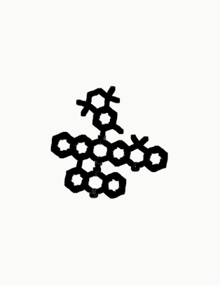 Cc1cc2c(cc1N1c3cc4c(cc3B3c5c1cc1ccccc1c5-c1cccc5c1N3c1ccccc1O5)Oc1ccccc1C4(C)C)C(C)(C)CCC2(C)C